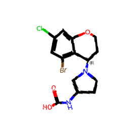 O=C(O)NC1CCN([C@@H]2CCOc3cc(Cl)cc(Br)c32)C1